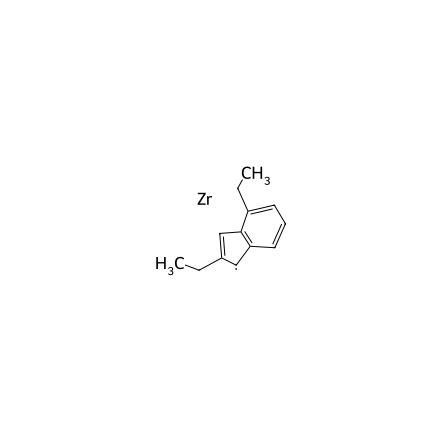 CCC1=Cc2c(cccc2CC)[CH]1.[Zr]